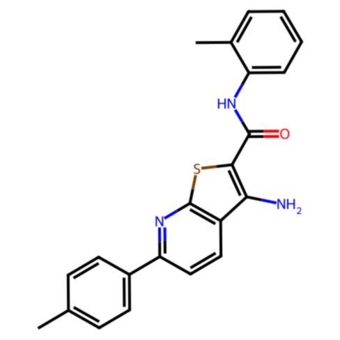 Cc1ccc(-c2ccc3c(N)c(C(=O)Nc4ccccc4C)sc3n2)cc1